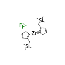 C[Si](C)(C)CC1=[C]([Zr+2][C]2=C(C[Si](C)(C)C)C=CC2)CC=C1.[F-].[F-]